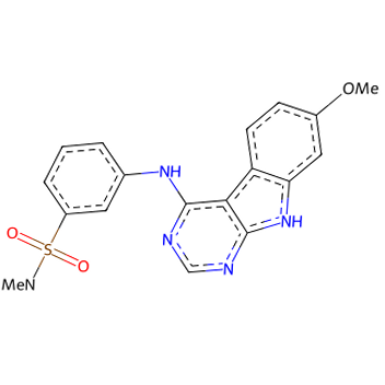 CNS(=O)(=O)c1cccc(Nc2ncnc3[nH]c4cc(OC)ccc4c23)c1